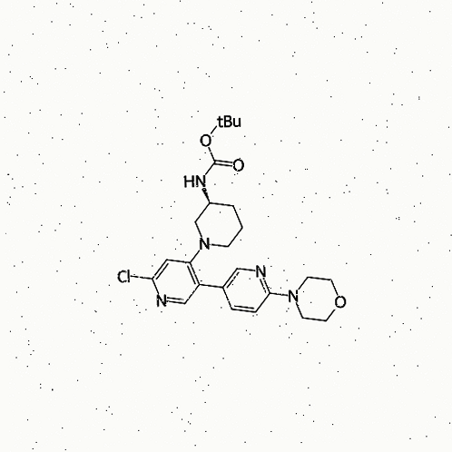 CC(C)(C)OC(=O)N[C@H]1CCCN(c2cc(Cl)ncc2-c2ccc(N3CCOCC3)nc2)C1